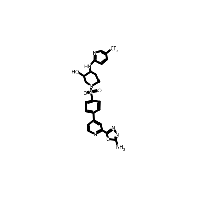 Nc1nnc(-c2cc(-c3ccc(S(=O)(=O)N4CCC(Nc5ccc(C(F)(F)F)cn5)C(O)C4)cc3)ccn2)o1